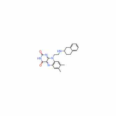 Cc1cc2nc3c(=O)[nH]c(=O)nc-3n(CCNC3CCc4ccccc4C3)c2cc1C